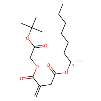 C=C(CC(=O)O[C@@H](C)CCCCCC)C(=O)OCC(=O)OC(C)(C)C